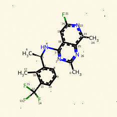 Cc1nc(N[C@H](C)c2cccc(C(F)(F)F)c2C)c2cc(F)nc(C)c2n1